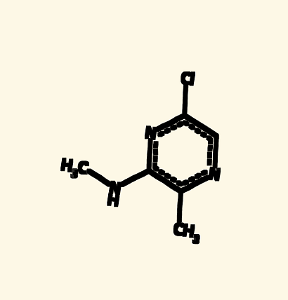 CNc1nc(Cl)cnc1C